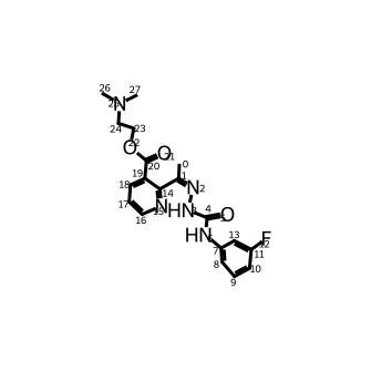 CC(=NNC(=O)Nc1cccc(F)c1)c1ncccc1C(=O)OCCN(C)C